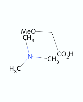 CN(C)C.COCC(=O)O